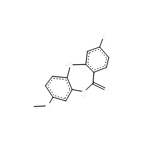 COc1ccc2c(c1)NC(=O)c1ccc(Cl)cc1N2